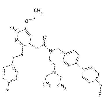 CCOc1cn(CC(=O)N(CCN(CC)CC)Cc2ccc(-c3ccc(CF)cc3)cc2)c(SCc2ccc(F)cc2)nc1=O